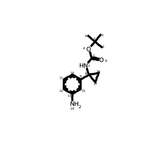 CC(C)(C)OC(=O)NC1(c2cccc(N)c2)CC1